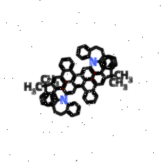 CC1(C)c2ccccc2-c2ccc(-c3ccccc3-c3c4ccc(N5c6ccccc6CCc6ccccc65)cc4c(-c4ccccc4-c4ccc5c(c4)C(C)(C)c4ccccc4-5)c4ccc(N5c6ccccc6CCc6ccccc65)cc34)cc21